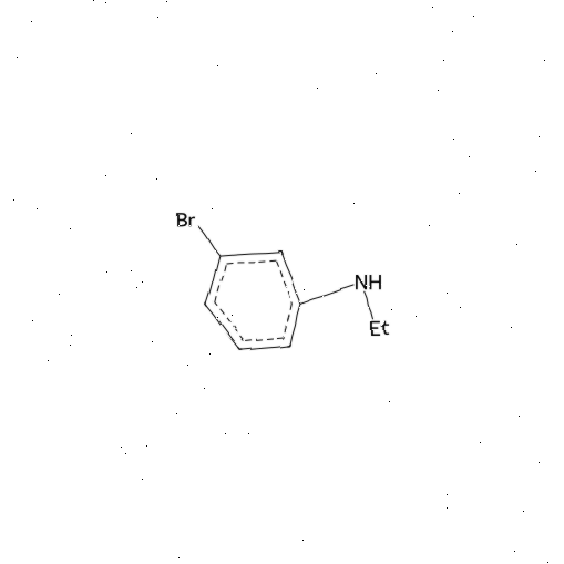 CCNc1cccc(Br)c1